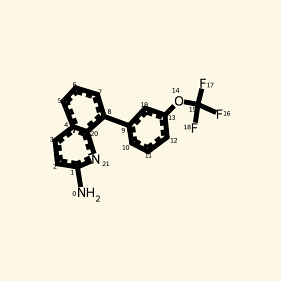 Nc1ccc2cccc(-c3cccc(OC(F)(F)F)c3)c2n1